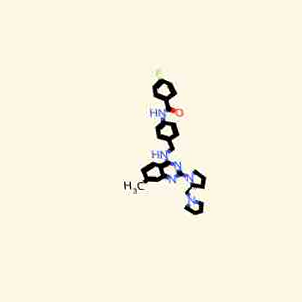 Cc1ccc2c(NCc3ccc(NC(=O)c4ccc(F)cc4)cc3)nc(N3CCC[C@H]3CN3CCCC3)nc2c1